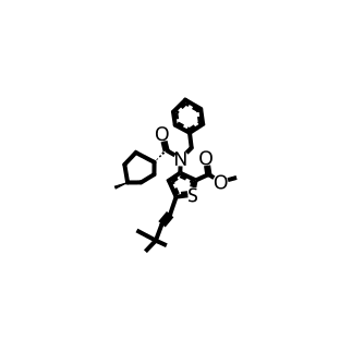 COC(=O)c1sc(C#CC(C)(C)C)cc1N(Cc1ccccc1)C(=O)[C@H]1CC[C@H](C)CC1